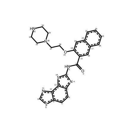 O=C(Nc1nc2ccc3scnc3c2s1)c1cc2ccccc2cc1OCCN1CCNCC1